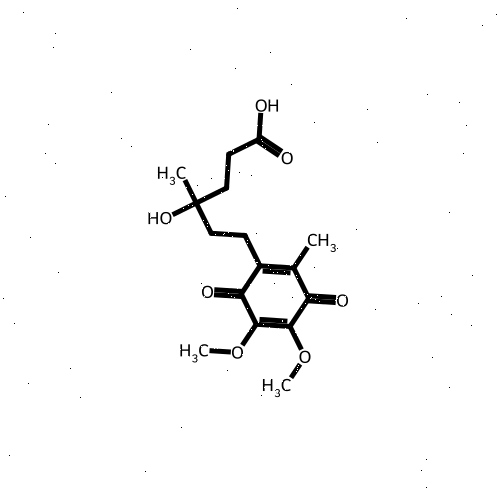 COC1=C(OC)C(=O)C(CCC(C)(O)CCC(=O)O)=C(C)C1=O